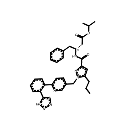 CCCc1cc(C(=O)N[C@@H](CC(=O)OC(C)C)Cc2ccccc2)nn1Cc1ccc(-c2ccccc2-c2nnn[nH]2)nc1